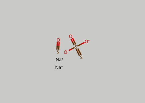 O=S.O=S([O-])([O-])=S.[Na+].[Na+]